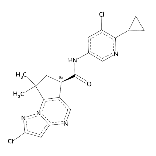 CC1(C)C[C@@H](C(=O)Nc2cnc(C3CC3)c(Cl)c2)c2cnc3cc(Cl)nn3c21